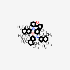 Cc1cc2c3c(c1)N(c1cccc4oc5ccccc5c14)c1cc4c(cc1B3c1cc3c(cc1N2c1ccc2c(c1)C(C)(C)CCC2(C)C)C(C)(C)CCC3(C)C)C(C)(C)CCC4(C)C